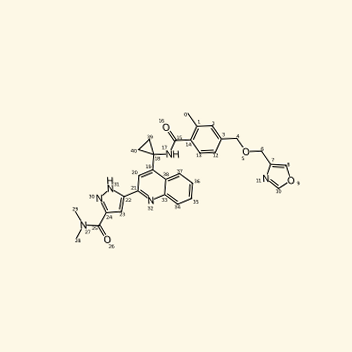 Cc1cc(COCc2cocn2)ccc1C(=O)NC1(c2cc(-c3cc(C(=O)N(C)C)n[nH]3)nc3ccccc23)CC1